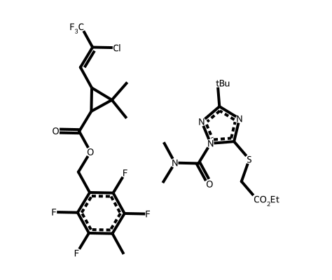 CCOC(=O)CSc1nc(C(C)(C)C)nn1C(=O)N(C)C.Cc1c(F)c(F)c(COC(=O)C2C(/C=C(\Cl)C(F)(F)F)C2(C)C)c(F)c1F